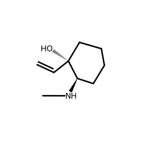 C=C[C@@]1(O)CCCC[C@H]1NC